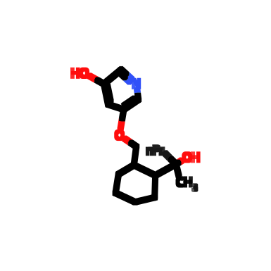 CCCC(C)(O)C1CCCCC1COc1cncc(O)c1